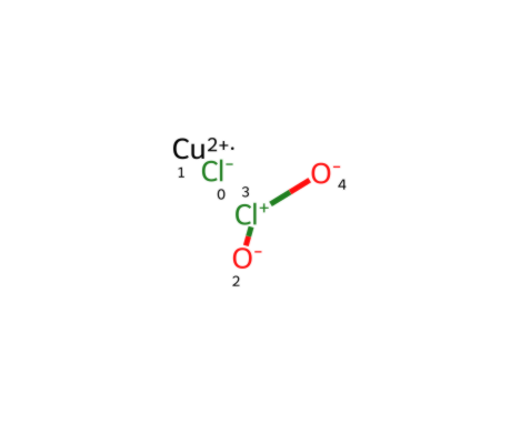 [Cl-].[Cu+2].[O-][Cl+][O-]